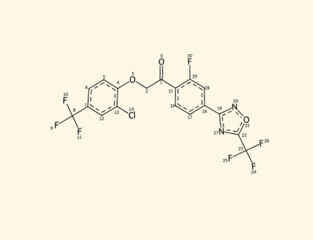 O=C(COc1ccc(C(F)(F)F)cc1Cl)c1ccc(-c2noc(C(F)(F)F)n2)cc1F